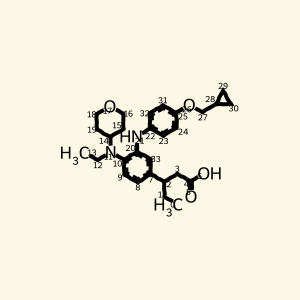 CCC(CC(=O)O)c1ccc(N(CC)C2CCOCC2)c(Nc2ccc(OCC3CC3)cc2)c1